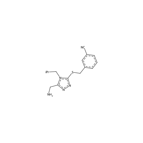 CC(C)Cn1c(CN)nnc1SCc1cccc(C#N)c1